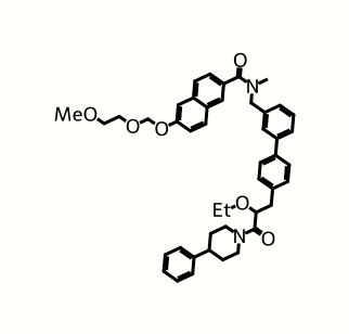 CCOC(Cc1ccc(-c2cccc(CN(C)C(=O)c3ccc4cc(OCOCCOC)ccc4c3)c2)cc1)C(=O)N1CCC(c2ccccc2)CC1